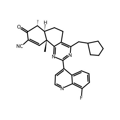 C[C@H]1C(=O)C(C#N)=C[C@@]2(C)c3nc(-c4ccnc5c(F)cccc45)nc(CC4CCCC4)c3CC[C@H]12